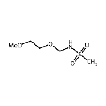 COCCOCNS(C)(=O)=O